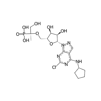 C[C@](CO)(OC[C@H]1O[C@@H](n2ncc3c(NC4CCCC4)nc(Cl)nc32)[C@H](O)[C@@H]1O)P(=O)(O)O